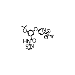 CC(C)Oc1cc(Oc2ccc(S(=O)(=O)C3CC3)nc2)cc(C(=O)Nc2nccs2)c1